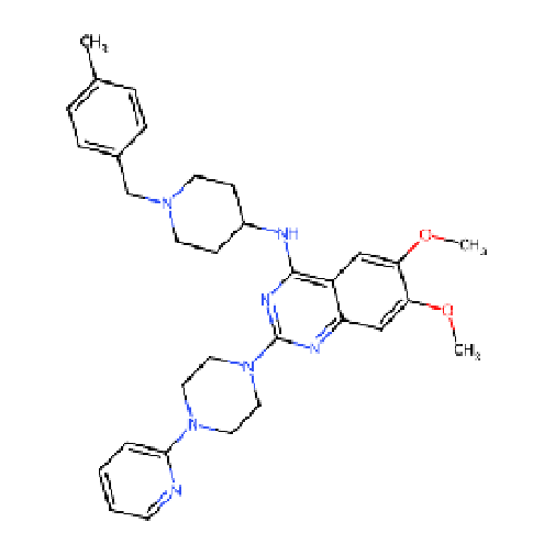 COc1cc2nc(N3CCN(c4ccccn4)CC3)nc(NC3CCN(Cc4ccc(C)cc4)CC3)c2cc1OC